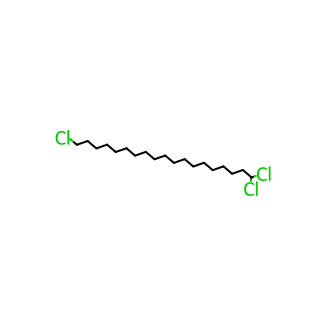 ClCCCCCCCCCCCCCCCCCCC(Cl)Cl